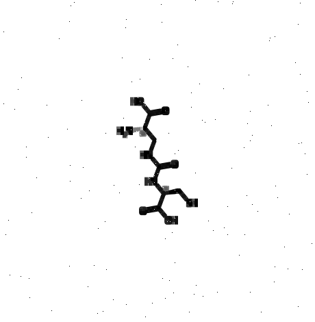 N[C@@H](CNC(=O)N[C@@H](CS)C(=O)O)C(=O)O